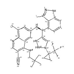 Cc1n[nH]c2cccc([C@H](Nc3cc(Cl)c4ncc(C#N)c(NCC(C)(C)C)c4c3)C3=CN(C4(C(F)(F)F)CC4)NN3)c12